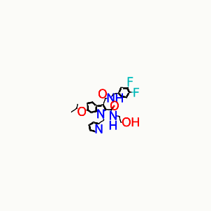 CC(C)Oc1ccc2c(C(=O)NCc3ccc(F)c(F)c3)c(C(=O)NCCO)n(Cc3ccccn3)c2c1